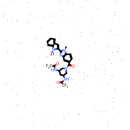 CCn1c(-c2nc3cc(C(=O)N4CC(NC(=O)C(F)(F)F)CC(NC(=O)C(F)(F)F)C4)ccc3n2C)cc2ccccc21